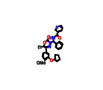 CCC1OC(=O)N(C(NC(=O)c2cccnc2)c2ccccc2)N=C1c1ccc(OC)c(OC2CCCC2)c1